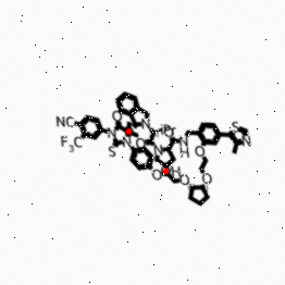 Cc1ncsc1-c1ccc(CNC(=O)C2C[C@@H](O)CN2C(=O)[C@H](C(C)C)N2Cc3ccccc3C2=O)c(OCCO[C@@H]2CCC[C@@H]2OCCOc2ccc(N3C(=S)N(c4ccc(C#N)c(C(F)(F)F)c4)C(=O)C3(C)C)cc2)c1